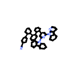 N#Cc1ccc(-c2ccccc2-c2ccccc2-c2ccccc2-c2cc(-n3c4ccccc4c4ccccc43)nc(-n3c4ccccc4c4cccnc43)c2)cc1